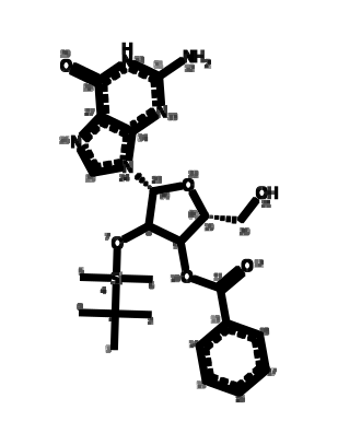 CC(C)(C)[Si](C)(C)OC1C(OC(=O)c2ccccc2)[C@@H](CO)O[C@H]1n1cnc2c(=O)[nH]c(N)nc21